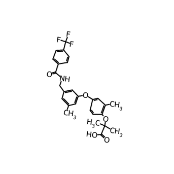 Cc1cc(CNC(=O)c2ccc(C(F)(F)F)cc2)cc(Oc2ccc(OC(C)(C)C(=O)O)c(C)c2)c1